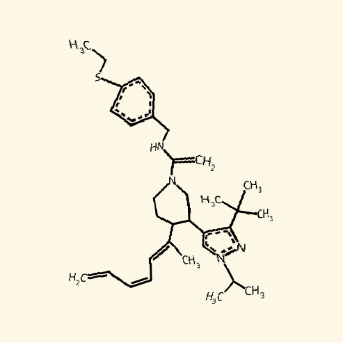 C=C/C=C\C=C(/C)C1CCN(C(=C)NCc2ccc(SCC)cc2)CC1c1cn(C(C)C)nc1C(C)(C)C